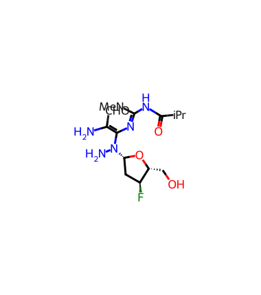 CN/C(=N\C(=C(\N)C=O)N(N)[C@H]1C[C@H](F)[C@@H](CO)O1)NC(=O)C(C)C